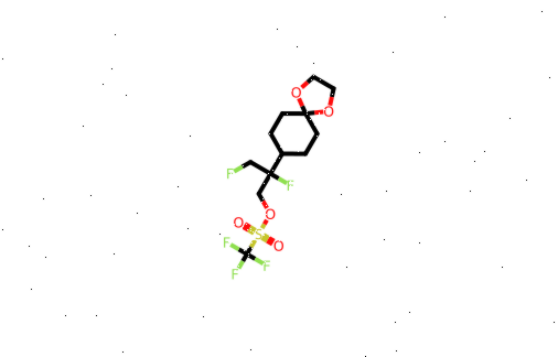 O=S(=O)(OCC(F)(CF)C1CCC2(CC1)OCCO2)C(F)(F)F